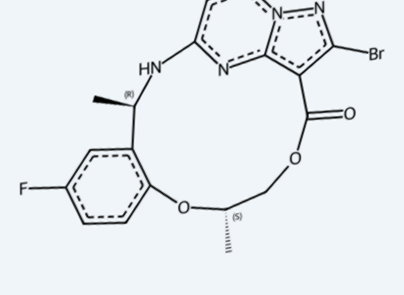 C[C@H]1COC(=O)c2c(Br)nn3ccc(nc23)N[C@H](C)c2cc(F)ccc2O1